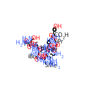 CC[C@H](C)[C@H](NC(=O)[C@H](CCCNC(=N)N)NC(=O)[C@H](CC(=O)O)NC(=O)CNC(=O)[C@H](CC(N)=O)NC(=O)[C@@H](N)CO)C(=O)NCC(=O)N[C@@H](CCSC)C(=O)N[C@@H](CCCNC(=N)N)C(=O)N[C@@H](CCCCN)C(=O)N[C@H](C(=O)N[C@@H](CC(C)C)C(=O)N[C@H](C(=O)N[C@@H](Cc1ccccc1)C(=O)N[C@@H](Cc1ccc(O)cc1)C(=O)O)C(C)C)[C@@H](C)O